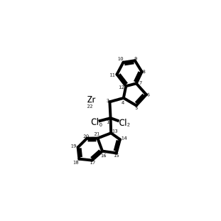 ClC(Cl)(CC1C=Cc2ccccc21)C1C=Cc2ccccc21.[Zr]